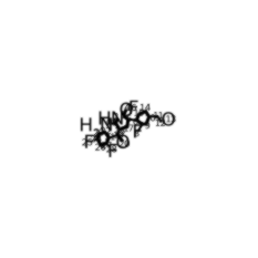 Nc1[nH]c(=O)c(-c2c(F)cc(CC=O)cc2F)cc1C(=O)c1ccc(F)cc1F